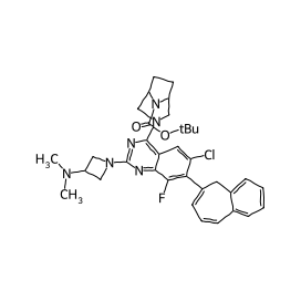 CN(C)C1CN(c2nc(N3CC4CCC(C3)N4C(=O)OC(C)(C)C)c3cc(Cl)c(C4=CC=Cc5ccccc5C4)c(F)c3n2)C1